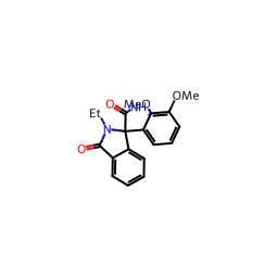 CCN1C(=O)c2ccccc2C1(C(N)=O)c1cccc(OC)c1OC